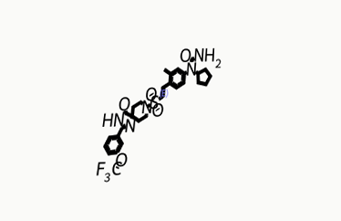 Cc1cc(N(C(N)=O)C2CCCC2)ccc1/C=C/S(=O)(=O)N1CCC2(CC1)N=C(c1cccc(OC(F)(F)F)c1)NC2=O